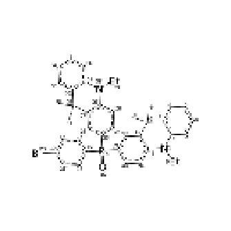 CCN1c2ccccc2C(C)(C)c2cc(P(=O)(c3ccc(Br)cc3)c3ccc4c(c3)C(C)(C)c3ccccc3N4CC)ccc21